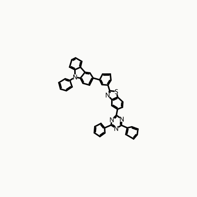 c1ccc(-c2nc(-c3ccccc3)nc(-c3ccc4sc(-c5cccc(-c6ccc7c(c6)c6ccccc6n7-c6ccccc6)c5)nc4c3)n2)cc1